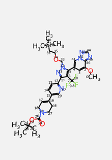 COc1cc(-c2c(C(F)(F)F)c(-c3ccc(C4=CCN(C(=O)OC(C)(C)C)CC4)cn3)nn2COCC[Si](C)(C)C)cn2ncnc12